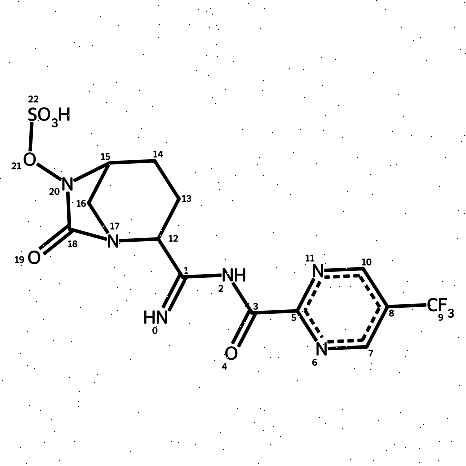 N=C(NC(=O)c1ncc(C(F)(F)F)cn1)C1CCC2CN1C(=O)N2OS(=O)(=O)O